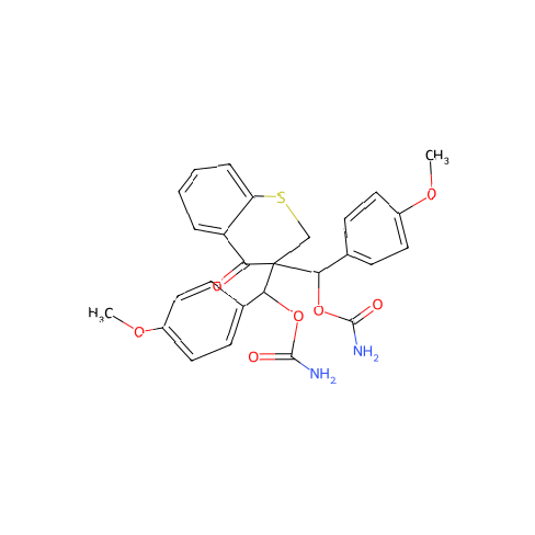 COc1ccc(C(OC(N)=O)C2(C(OC(N)=O)c3ccc(OC)cc3)CSc3ccccc3C2=O)cc1